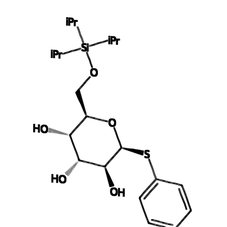 CC(C)[Si](OC[C@H]1O[C@@H](Sc2ccccc2)[C@@H](O)[C@H](O)[C@@H]1O)(C(C)C)C(C)C